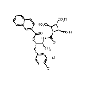 C[C@H](NC(=O)[C@@H]1[C@H](C(=O)O)[C@@H](C(=O)O)[C@@H]1C(=O)O)[C@@H](Cc1ccc(Cl)c(Cl)c1)OC(=O)c1ccc2ccccc2c1